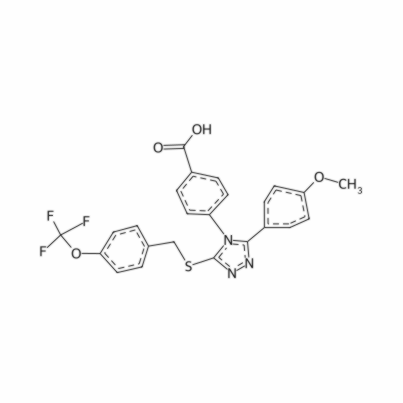 COc1ccc(-c2nnc(SCc3ccc(OC(F)(F)F)cc3)n2-c2ccc(C(=O)O)cc2)cc1